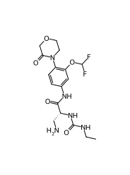 CCNC(=O)N[C@H](CN)C(=O)Nc1ccc(N2CCOCC2=O)c(OC(F)F)c1